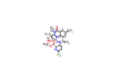 COC(=O)c1nc(Cl)ccc1N[C@H](C)c1cc(C)cc2c(=O)n(C)c(C(C)(C)CO)nc12